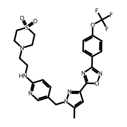 Cc1cc(-c2nc(-c3ccc(OC(F)(F)F)cc3)no2)nn1Cc1ccc(NCCN2CCS(=O)(=O)CC2)nc1